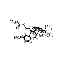 CC(C)N1CCC2(CCCC(N)=O)c3cc(O)ccc3C[C@@H]1[C@@H]2C